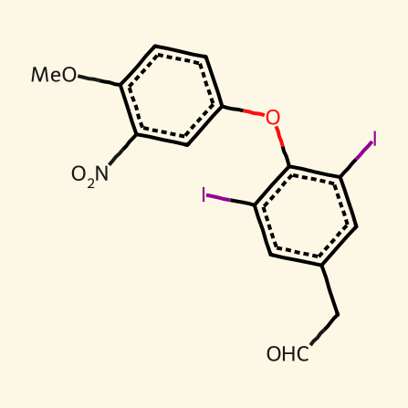 COc1ccc(Oc2c(I)cc(CC=O)cc2I)cc1[N+](=O)[O-]